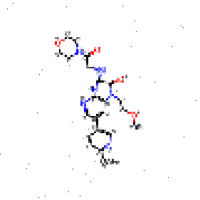 CCCOCCn1c(=O)c(NCC(=O)N2CCOCC2)nc2ncc(-c3ccc(OC)nc3)cc21